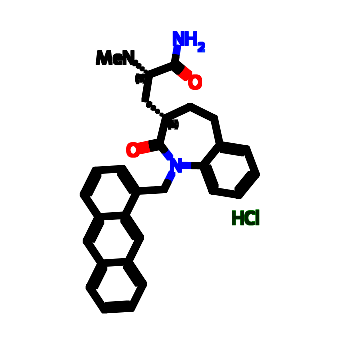 CN[C@@H](C[C@@H]1CCc2ccccc2N(Cc2cccc3cc4ccccc4cc23)C1=O)C(N)=O.Cl